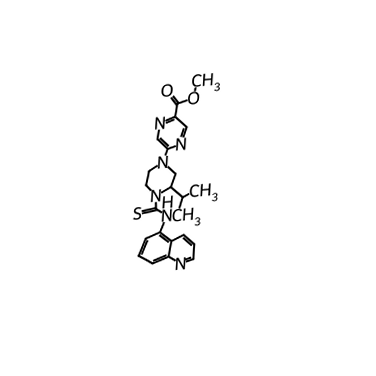 COC(=O)c1cnc(N2CCN(C(=S)Nc3cccc4ncccc34)C(C(C)C)C2)cn1